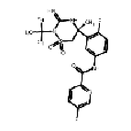 [2H]C([2H])(C)N1C(=N)N[C@](C)(c2cc(NC(=O)c3ccc(F)cn3)ccc2F)CS1(=O)=O